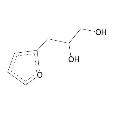 OCC(O)Cc1ccco1